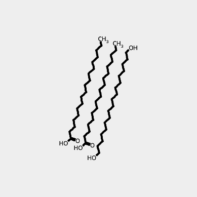 CCCCCCCCCCCCCCCCCC(=O)O.CCCCCCCCCCCCCCCCCC(=O)O.OCCCCCCCCCCCCCCCCCCO